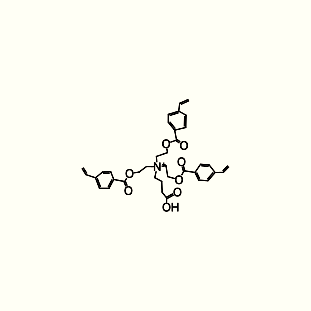 C=Cc1ccc(C(=O)OCC[N+](CCCC(=O)O)(CCOC(=O)c2ccc(C=C)cc2)CCOC(=O)c2ccc(C=C)cc2)cc1